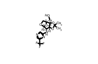 CC1(C)O[C@@H]2[C@@H](Nc3cncc(C(F)(F)F)n3)[C@H]3OC[C@](CO)(O3)[C@@H]2O1